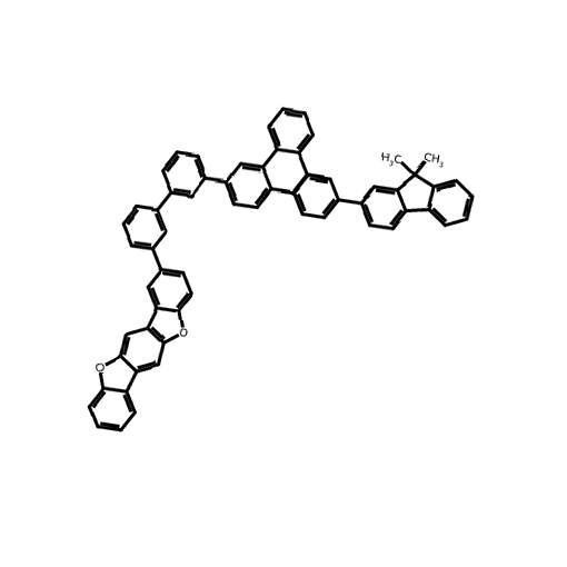 CC1(C)c2ccccc2-c2ccc(-c3ccc4c5ccc(-c6cccc(-c7cccc(-c8ccc9oc%10cc%11c(cc%10c9c8)oc8ccccc8%11)c7)c6)cc5c5ccccc5c4c3)cc21